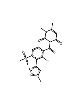 CC1=CC(=O)C(C(=O)c2ccc(S(C)(=O)=O)c(-c3cc(C)no3)c2Cl)C(=O)N1C